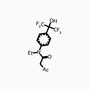 CCN(C(=O)CC(C)=O)c1ccc(C(O)(C(F)(F)F)C(F)(F)F)cc1